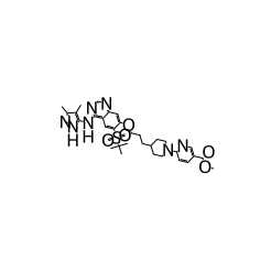 COC(=O)c1ccc(N2CCC(CCCOc3cc4ncnc(Nc5[nH]nc(C)c5C)c4cc3S(=O)(=O)C(C)(C)C)CC2)nc1